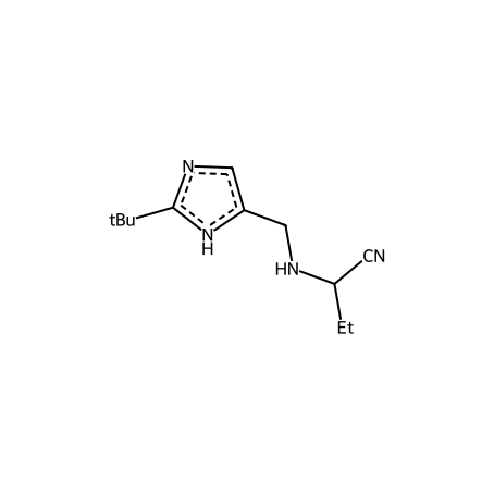 CCC(C#N)NCc1cnc(C(C)(C)C)[nH]1